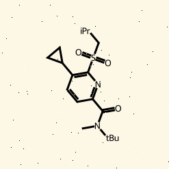 CC(C)CS(=O)(=O)c1nc(C(=O)N(C)C(C)(C)C)ccc1C1CC1